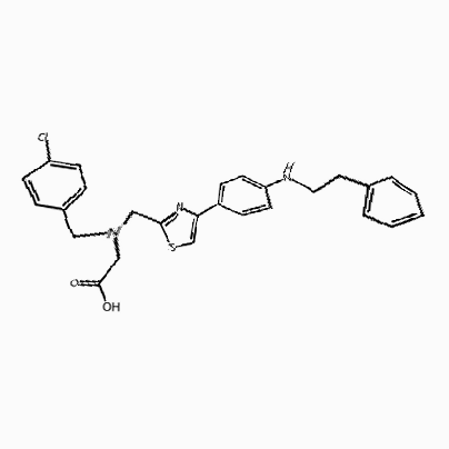 O=C(O)CN(Cc1ccc(Cl)cc1)Cc1nc(-c2ccc(NCCc3ccccc3)cc2)cs1